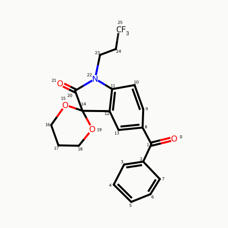 O=C(c1ccccc1)c1ccc2c(c1)C1(OCCCO1)C(=O)N2CCC(F)(F)F